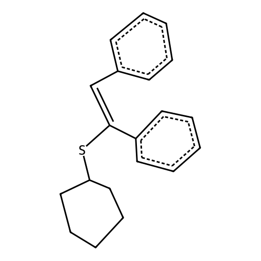 C(=C(SC1CCCCC1)c1ccccc1)c1ccccc1